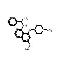 COc1cc(OC2CCN(C)CC2)c2c(N[C@H](C)c3ccccc3)ncnc2c1